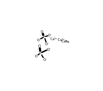 O=P([O-])([O-])[O-].O=P([O-])([O-])[O-].[Ca+2].[Ca+2].[Ca+2].[Fe]